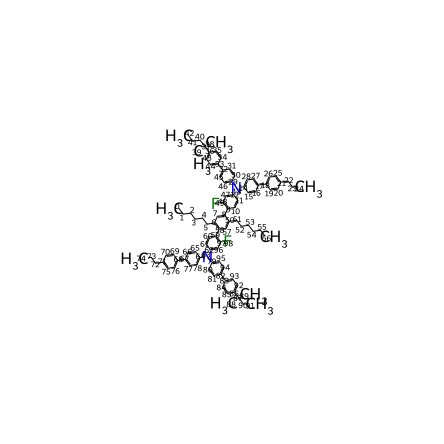 CCCCCCc1cc(-c2ccc(N(c3ccc(-c4ccc(CCC)cc4)cc3)c3ccc(-c4ccc(C(C)(C)CCC)cc4)cc3)cc2F)c(CCCCCC)cc1-c1ccc(N(c2ccc(-c3ccc(CCC)cc3)cc2)c2ccc(-c3ccc(C(C)(C)CC)cc3)cc2)cc1F